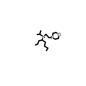 CCCCC(CCC)N(CCN1CCOCC1)C(C)C